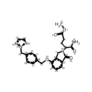 COC(=O)CCC(C(N)=O)N1Cc2c(OCc3ccc(Cn4nccn4)cc3)cccc2C1=O